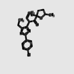 CCc1sc(-c2ccc(Cl)cc2)nc1C(C=O)C(=O)C1(C)CCC(C)O1